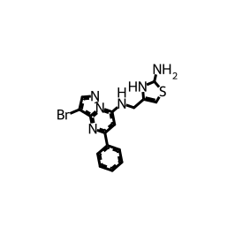 NC1NC(CNc2cc(-c3ccccc3)nc3c(Br)cnn23)=CS1